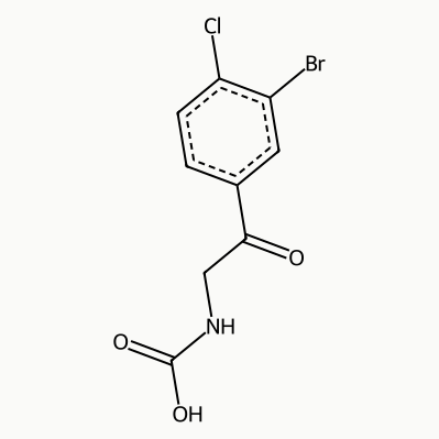 O=C(O)NCC(=O)c1ccc(Cl)c(Br)c1